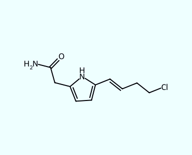 NC(=O)Cc1ccc(C=CCCCl)[nH]1